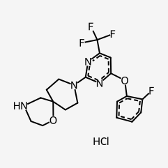 Cl.Fc1ccccc1Oc1cc(C(F)(F)F)nc(N2CCC3(CC2)CNCCO3)n1